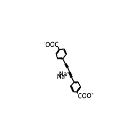 O=C([O-])c1ccc(C#CC#Cc2ccc(C(=O)[O-])cc2)cc1.[Na+].[Na+]